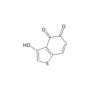 O=C1C=Cc2scc(O)c2C1=O